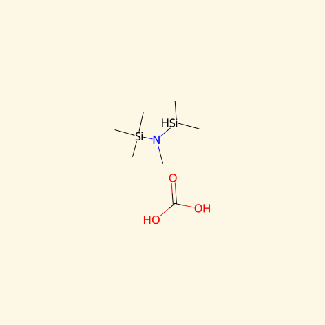 CN([SiH](C)C)[Si](C)(C)C.O=C(O)O